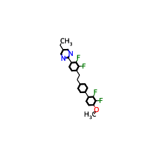 CCc1cnc(-c2ccc(CCc3ccc(-c4ccc(OC)c(F)c4F)cc3)c(F)c2F)nc1